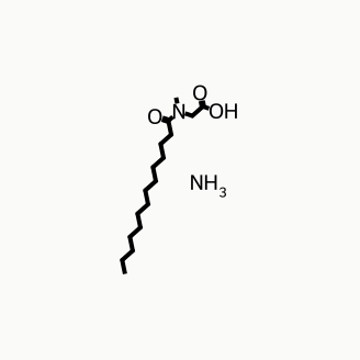 CCCCCCCCCCCCCC(=O)N(C)CC(=O)O.N